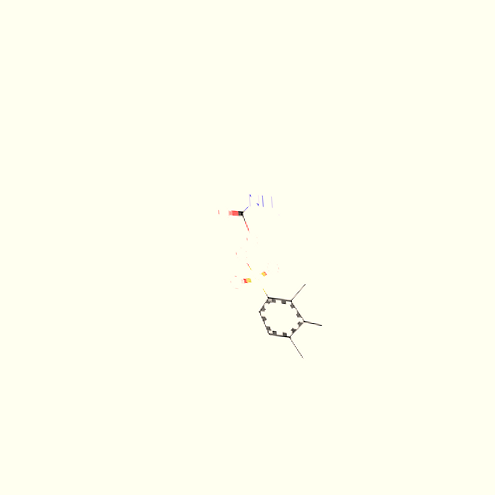 Cc1ccc(S(=O)(=O)OOC(N)=O)c(C)c1C